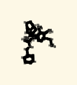 COc1ccc(C(C)N2C3CCC2CC(NC(=O)OCc2ccccc2)C3)c(C)c1C